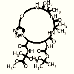 COC(=O)C(C)(C)NC(=O)C1CC[C@H](NC(=O)OC(C)(C)C)C(=O)NC(C)(C)C(=O)NC(C)(C)C(=O)NCCOCc2cn1nn2